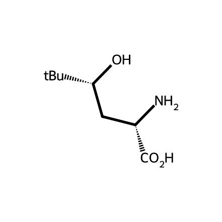 CC(C)(C)[C@H](O)C[C@H](N)C(=O)O